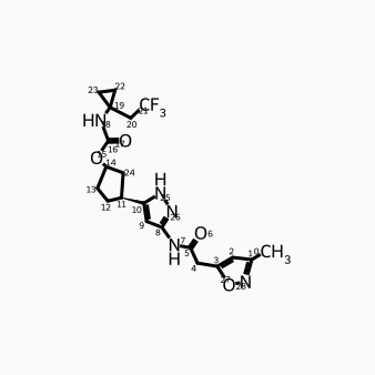 Cc1cc(CC(=O)Nc2cc([C@H]3CCC(OC(=O)NC4(CC(F)(F)F)CC4)C3)[nH]n2)on1